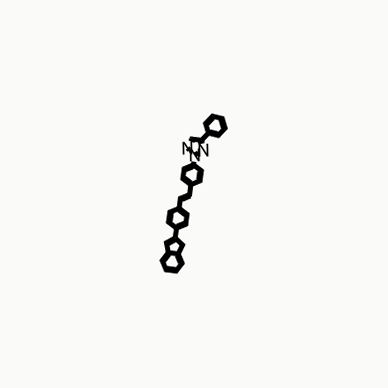 C(=Cc1ccc(-n2ncc(-c3ccccc3)n2)cc1)c1ccc(C2=Cc3ccccc3C2)cc1